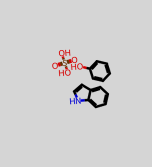 O=S(=O)(O)O.Oc1ccccc1.c1ccc2[nH]ccc2c1